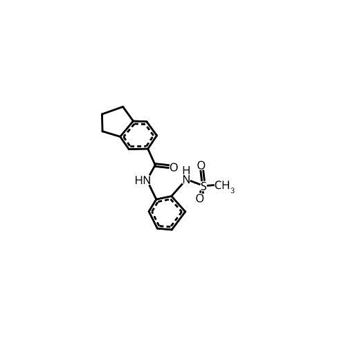 CS(=O)(=O)Nc1ccccc1NC(=O)c1ccc2c(c1)CCC2